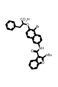 CCCCc1oc2ccccc2c1C(=O)Nc1ccc2c(Br)c(OC(Cc3ccccc3)C(=O)O)ccc2c1